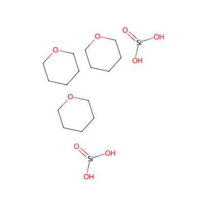 C1CCOCC1.C1CCOCC1.C1CCOCC1.O=[Si](O)O.O=[Si](O)O